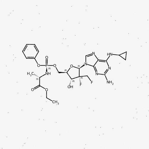 CCOC(=O)[C@H](C)N[P@@](=O)(OC[C@H]1O[C@@H](n2cnc3c(NC4CC4)nc(N)nc32)[C@@](F)(CF)[C@@H]1O)Oc1ccccc1